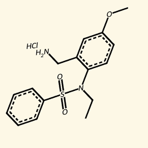 CCN(c1ccc(OC)cc1CN)S(=O)(=O)c1ccccc1.Cl